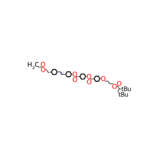 C=CC(=O)OCCc1ccc(/C=C/c2ccc(OC(=O)c3ccc(OC(=O)c4ccc(OCCCCOC(=O)C(CC(C)(C)C)C(C)(C)C)cc4)cc3)cc2)cc1